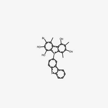 Cc1c(O)c(C)c2c(c1O)c1c(C)c(Br)c(O)c(O)c1n2-c1ccc2sc3ccccc3c2c1